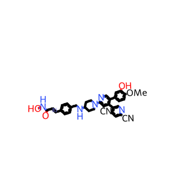 COc1ccc(-c2cnc(N3CCC(NCc4ccc(/C=C/C(=O)NO)cc4)CC3)c(C#N)c2-c2ccc(C#N)nc2)cc1O